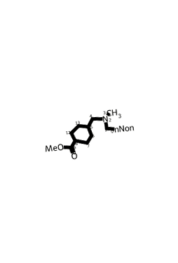 CCCCCCCCCCN(C)CC1CCC(C(=O)OC)CC1